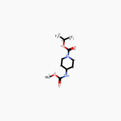 CC(C)(C)OC(=O)NC1CCN(C(=O)OC(C(F)(F)F)C(F)(F)F)CC1